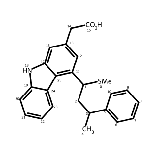 CSC(CC(C)c1ccccc1)c1cc(CC(=O)O)cc2[nH]c3ccccc3c12